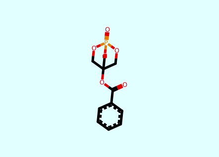 O=C(OC12COP(=O)(OC1)OC2)c1ccccc1